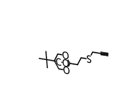 C#CCSCCC12OCC(C(C)(C)C)(CO1)CO2